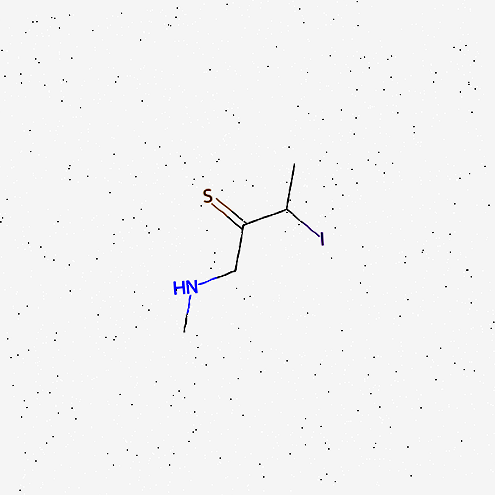 CNCC(=S)C(C)I